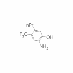 CCCc1cc(O)c(N)cc1C(F)(F)F